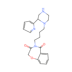 O=C1COc2ccccc2C(=O)N1CCCCN1CCNCC1c1ccccn1